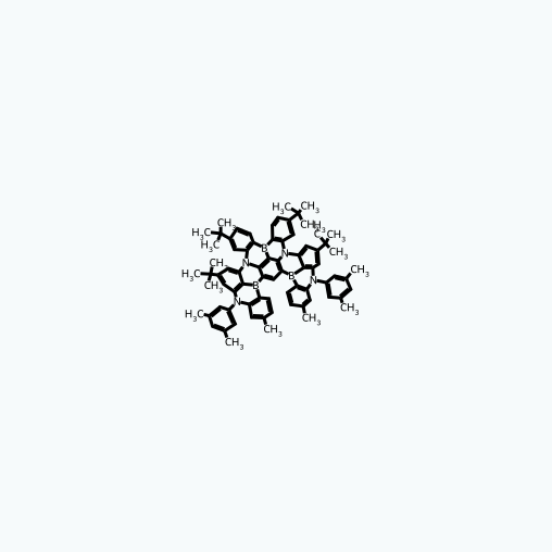 Cc1cc(C)cc(N2c3cc(C)ccc3B3c4cc5c6c7c4N(c4cc(C(C)(C)C)ccc4B7c4ccc(C(C)(C)C)cc4N6c4cc(C(C)(C)C)cc6c4B5c4ccc(C)cc4N6c4cc(C)cc(C)c4)c4cc(C(C)(C)C)cc2c43)c1